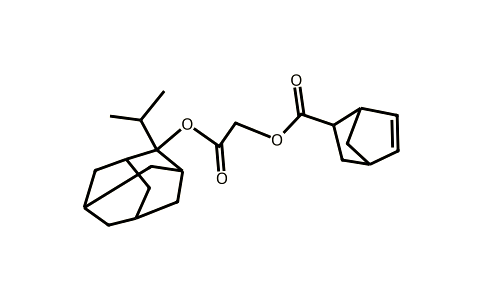 CC(C)C1(OC(=O)COC(=O)C2CC3C=CC2C3)C2CC3CC(C2)CC1C3